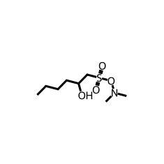 CCCCC(O)CS(=O)(=O)ON(C)C